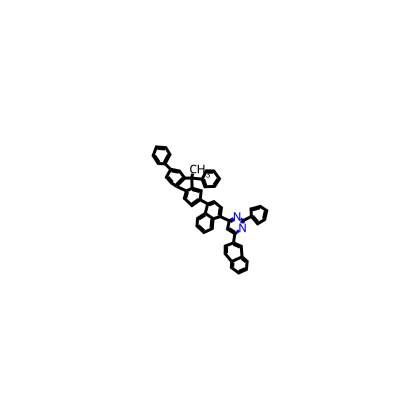 CC1(c2ccccc2)c2cc(-c3ccccc3)ccc2-c2ccc(-c3ccc(-c4cc(-c5ccc6ccccc6c5)nc(-c5ccccc5)n4)c4ccccc34)cc21